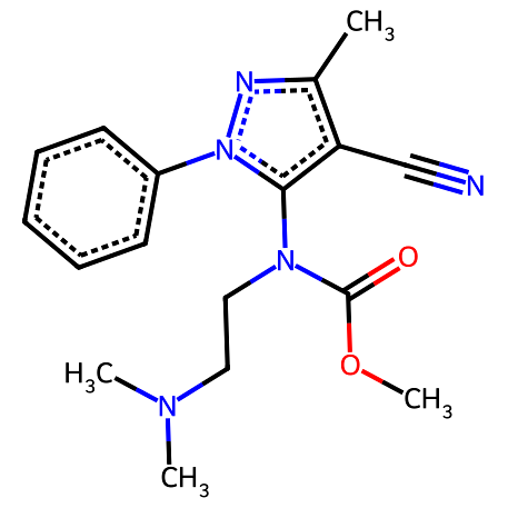 COC(=O)N(CCN(C)C)c1c(C#N)c(C)nn1-c1ccccc1